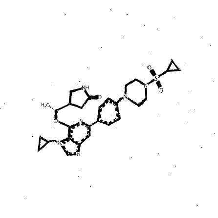 C[C@@H](Oc1nc(-c2ccc(N3CCN(S(=O)(=O)C4CC4)CC3)cc2)cc2ncn(C3CC3)c12)C1CNC(=O)C1